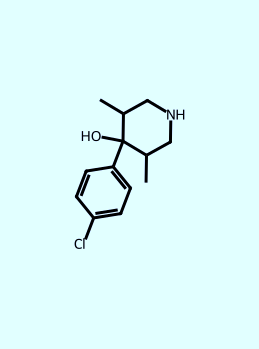 CC1CNCC(C)C1(O)c1ccc(Cl)cc1